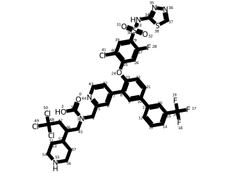 O=C(O)N(Cc1cc(-c2cc(-c3cccc(C(F)(F)F)c3)ccc2Oc2cc(F)c(S(=O)(=O)Nc3nncs3)cc2Cl)ccn1)CC(CC(Cl)(Cl)Cl)C1CCNCC1